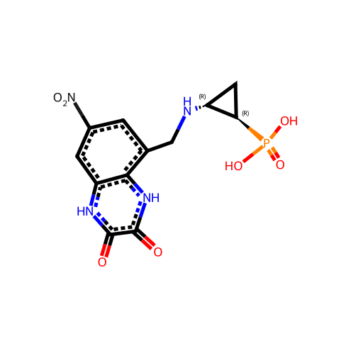 O=c1[nH]c2cc([N+](=O)[O-])cc(CN[C@@H]3C[C@H]3P(=O)(O)O)c2[nH]c1=O